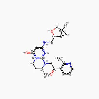 Cc1ncccc1C(=O)CN1c2nc(NC[C@H]3OC[C@@H]4CC43)cc(=O)n2CC[C@H]1C(F)(F)F